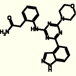 NC(=O)Cc1ccccc1Nc1nc(-c2cccc3[nH]ncc23)nc(N2CCOCC2)n1